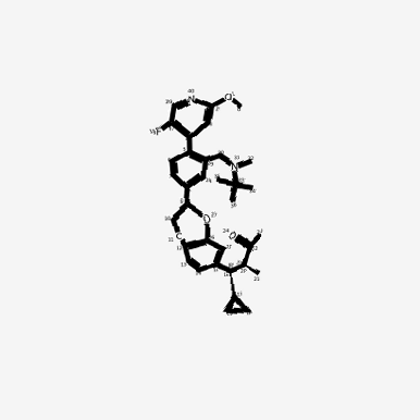 COc1cc(-c2ccc(C3CCc4ccc([C@H](C5CC5)[C@H](C)C(C)=O)cc4O3)cc2CN(C)C(C)(C)C)c(F)cn1